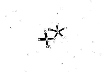 CCP(CC)(CC)(CC)OS(=O)(=O)C(F)(F)F